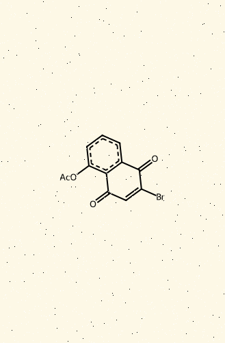 CC(=O)Oc1cccc2c1C(=O)C=C(Br)C2=O